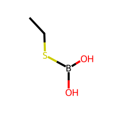 CCSB(O)O